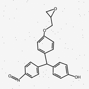 O=Nc1ccc(C(c2ccc(O)cc2)c2ccc(OCC3CO3)cc2)cc1